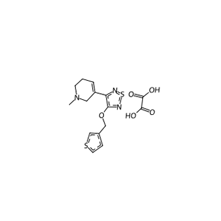 CN1CCC=C(c2nsnc2OCc2ccsc2)C1.O=C(O)C(=O)O